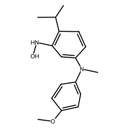 COc1ccc(N(C)c2ccc(C(C)C)c(NO)c2)cc1